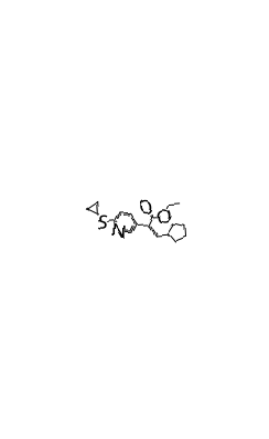 CCOC(=O)C(=CC1CCCC1)c1ccc(SC2CC2)nc1